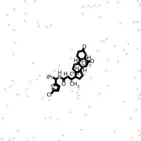 CC(C)C(NC(=O)C[C@@H](C)C1CC[C@H]2[C@@H]3CC(=O)[C@@H]4CC(=O)CC[C@]4(C)[C@H]3CC[C@]12C)c1ccc(Cl)s1